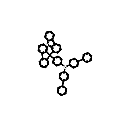 c1ccc(-c2ccc(N(c3ccc(-c4ccccc4)cc3)c3ccc(C4(c5cccc6c5oc5ccccc56)c5ccccc5-c5ccccc54)cc3)cc2)cc1